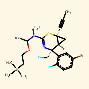 CC#C[C@]12C[C@H]1[C@@](CF)(c1cc(Br)ccc1F)N=C(N(C(=O)O)C(OCC[Si](C)(C)C)C(C)(C)C)S2